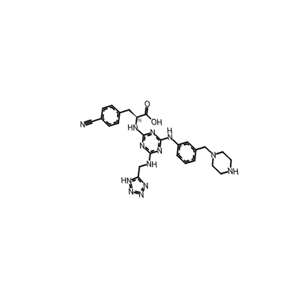 N#Cc1ccc(C[C@H](Nc2nc(NCc3nnn[nH]3)nc(Nc3cccc(CN4CCNCC4)c3)n2)C(=O)O)cc1